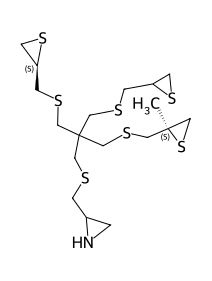 C[C@]1(CSCC(CSCC2CN2)(CSCC2CS2)CSC[C@H]2CS2)CS1